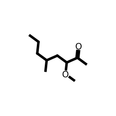 CCCC(C)CC(OC)C(C)=O